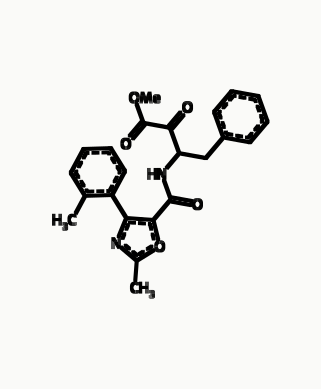 COC(=O)C(=O)C(Cc1ccccc1)NC(=O)c1oc(C)nc1-c1ccccc1C